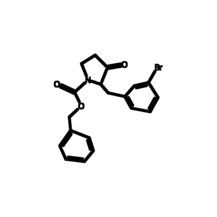 O=C1CCN(C(=O)OCc2ccccc2)C1Cc1cccc(Br)c1